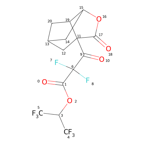 O=C(OC(C(F)(F)F)C(F)(F)F)C(F)(F)C(=O)C12CC3CC(OC1=O)C2C3